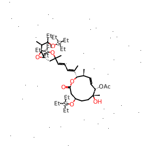 CCC(O[Si](CC)(CC)CC)C(C)[C@@H]1O[C@H]1CC(C)(/C=C/C=C(\C)[C@H]1OC(=O)C[C@H](O[Si](CC)(CC)CC)CC[C@@](C)(O)[C@@H](OC(C)=O)/C=C/[C@@H]1C)O[Si](CC)(CC)CC